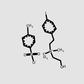 C[N+](C)(CCO)CCc1ccc(I)cc1.Cc1ccc(S(=O)(=O)[O-])cc1